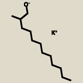 CCCCCCCCCCC(C)C[O-].[K+]